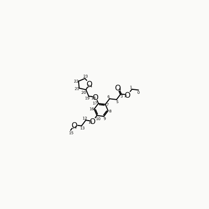 CCOC(=O)CCc1ccc(OCCOC)cc1OCC1CCCO1